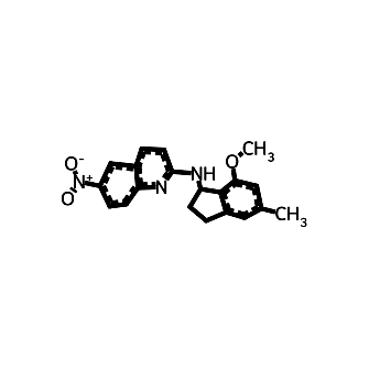 COc1cc(C)cc2c1C(Nc1ccc3cc([N+](=O)[O-])ccc3n1)CC2